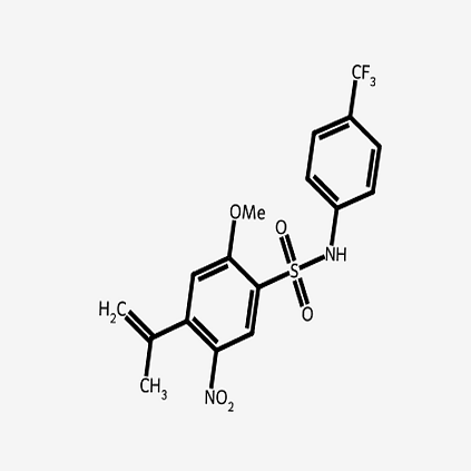 C=C(C)c1cc(OC)c(S(=O)(=O)Nc2ccc(C(F)(F)F)cc2)cc1[N+](=O)[O-]